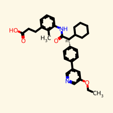 CCOc1cncc(-c2ccc([C@H](C(=O)Nc3cccc(CCC(=O)O)c3C)C3CCCCC3)cc2)c1